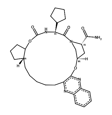 NC(=O)[C@@H]1C[C@@H]2CN1C(=O)[C@H](C1CCCC1)NC(=O)OC1CCC[C@H]1CCCCCc1nc3ccccc3nc1O2